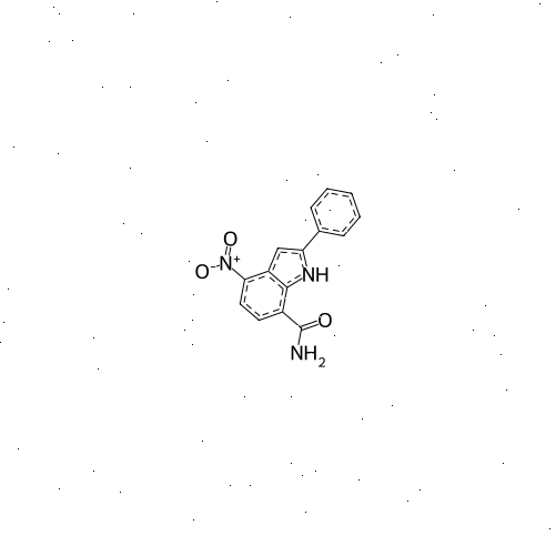 NC(=O)c1ccc([N+](=O)[O-])c2cc(-c3ccccc3)[nH]c12